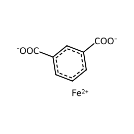 O=C([O-])c1cccc(C(=O)[O-])c1.[Fe+2]